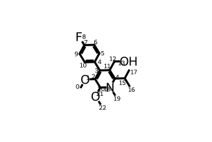 COC1=C(c2ccc(F)cc2)C(CO)=C(C(C)C)N(C)C1OC